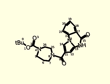 CC(C)(C)OC(=O)N1CCCN(C(=O)c2cc3[nH]c(=O)c4ccccc4n3c2)CC1